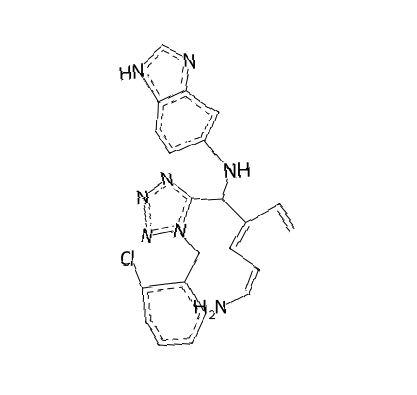 C=C/C(=C\C=C/N)C(Nc1ccc2[nH]cnc2c1)c1nnnn1Cc1ccccc1Cl